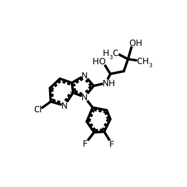 CC(C)(O)CC(O)Nc1nc2ccc(Cl)nc2n1-c1ccc(F)c(F)c1